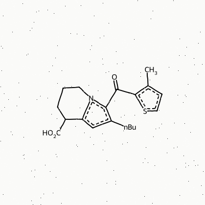 CCCCc1cc2n(c1C(=O)c1sccc1C)CCCC2C(=O)O